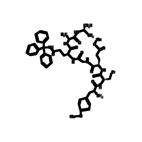 CC(C)C[C@H](NC(=O)[C@@H](N)Cc1ccc(OC(C)(C)C)cc1)C(=O)N[C@@H](CCC(=O)OC(C)(C)C)C(=O)NCC(=O)N[C@@H](CCC(=O)NC(c1ccccc1)(c1ccccc1)c1ccccc1)C(=O)N[C@@H](C)C(=O)N[C@@H](C)C(=O)O